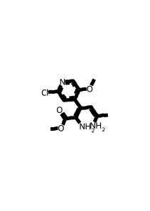 COC(=O)/C(N)=C(/C=C(/C)N)c1cc(Cl)ncc1OC